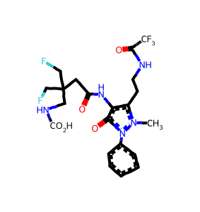 Cn1c(CCNC(=O)C(F)(F)F)c(NC(=O)CC(CF)(CF)CNC(=O)O)c(=O)n1-c1ccccc1